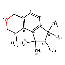 CC1COCc2ccc3c(c21)C(C)(C)C(C)C3(C)C